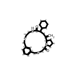 C=C1CC(C2CCCCC2)C(=O)NCCSCc2cccc(c2)CSCC(=O)N2CCCC12